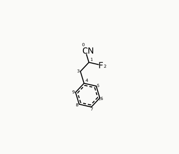 N#CC(F)Cc1c[c]ccc1